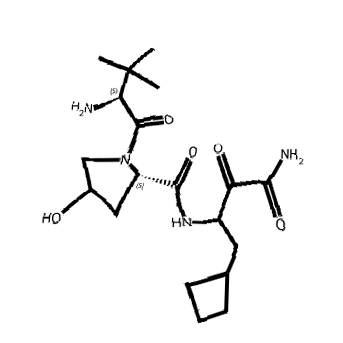 CC(C)(C)[C@H](N)C(=O)N1CC(O)C[C@H]1C(=O)NC(CC1CCC1)C(=O)C(N)=O